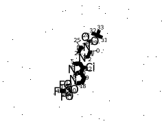 C[C@@H]1CN(c2cnc3nc(OS(=O)(=O)C(F)(F)F)ccc3c2Cl)C[C@H](C)N1C(=O)OC(C)(C)C